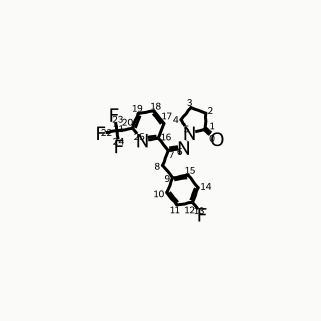 O=C1CCCN1N=C(Cc1ccc(F)cc1)c1cccc(C(F)(F)F)n1